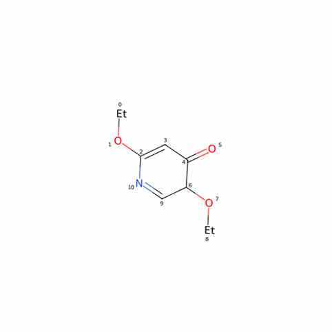 CCOC1=CC(=O)C(OCC)C=N1